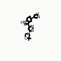 Cn1cc(-c2ccc3[nH]nc(-c4cc(N5CCOC(C)(C)C5)ncn4)c3c2)cn1